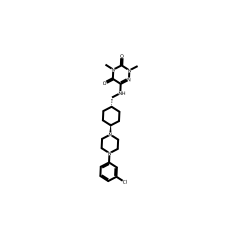 Cn1nc(NC[C@H]2CC[C@H](N3CCN(c4cccc(Cl)c4)CC3)CC2)c(=O)n(C)c1=O